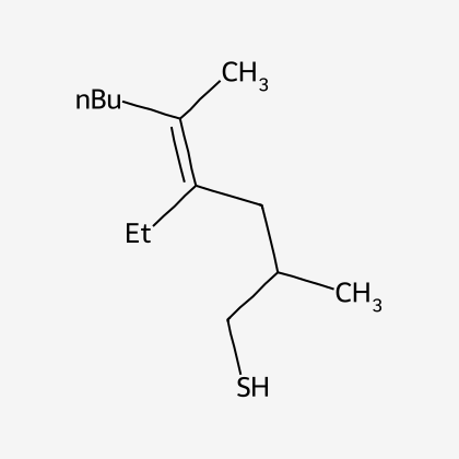 CCCC/C(C)=C(\CC)CC(C)CS